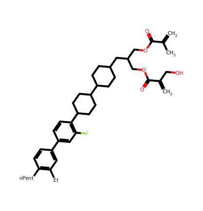 C=C(C)C(=O)OCC(COC(=O)C(=C)CO)CC1CCC(C2CCC(c3ccc(-c4ccc(CCCCC)c(CC)c4)cc3F)CC2)CC1